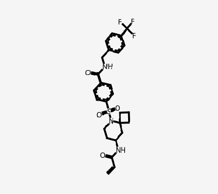 C=CC(=O)NC1CCN(S(=O)(=O)c2ccc(C(=O)NCc3ccc(C(F)(F)F)cc3)cc2)C2(CCC2)C1